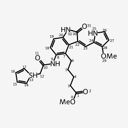 COC(=O)CCCCc1c(NC(=O)C[SH]2C=CC=C2)ccc2c1/C(=C/c1[nH]ccc1OC)C(=O)N2